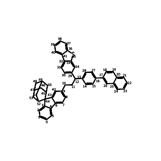 c1ccc2c(c1)-c1ccc(CCC(c3ccc(-c4ccc5ccccc5c4)cc3)c3ccc4c(c3)sc3ccccc34)cc1C21C2CC3CC(C2)CC1C3